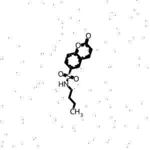 CCCCNS(=O)(=O)c1ccc2oc(=O)ccc2c1